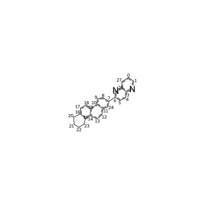 c1cnc2ccc(-c3ccc4c(ccc5c6c(ccc54)CCCC6)c3)nc2c1